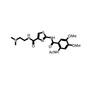 COc1cc(NC(C)=O)c(C(=O)Nc2nc(C(=O)NCCN(C)C)cs2)cc1OC